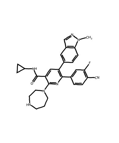 Cn1ncc2cc(-c3cc(C(=O)NC4CC4)c(N4CCCNCC4)nc3-c3ccc(C#N)c(F)c3)ccc21